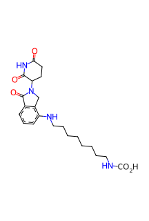 O=C(O)NCCCCCCCCNc1cccc2c1CN(C1CCC(=O)NC1=O)C2=O